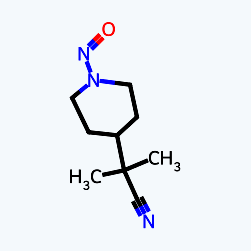 CC(C)(C#N)C1CCN(N=O)CC1